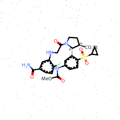 CCOC(=O)[C@@H]1CCN(C(=O)CNc2cc(C(N)=O)ccc2F)[C@H]1c1cc(NC(=O)OC)ccc1S(=O)(=O)C1CC1